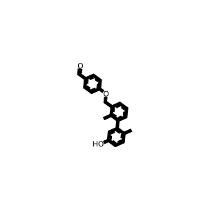 Cc1ccc(O)cc1-c1cccc(COc2ccc(C=O)cc2)c1C